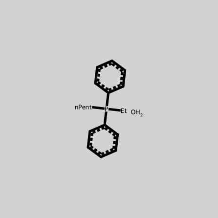 CCCCC[P](CC)(c1ccccc1)c1ccccc1.O